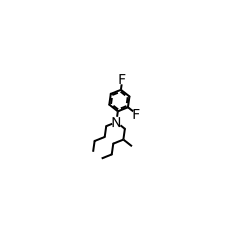 CCCCN(CC(C)CCC)c1ccc(F)cc1F